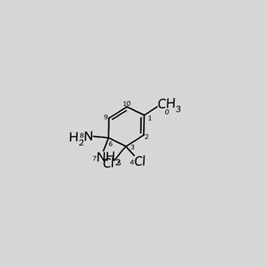 CC1=CC(Cl)(Cl)C(N)(N)C=C1